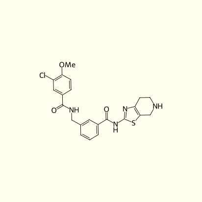 COc1ccc(C(=O)NCc2cccc(C(=O)Nc3nc4c(s3)CNCC4)c2)cc1Cl